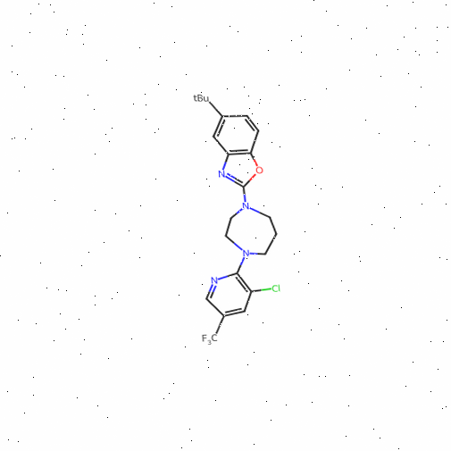 CC(C)(C)c1ccc2oc(N3CCCN(c4ncc(C(F)(F)F)cc4Cl)CC3)nc2c1